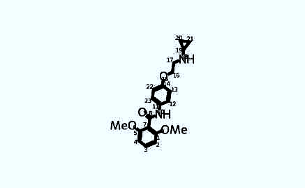 COc1cccc(OC)c1C(=O)Nc1ccc(OCCNC2CC2)cc1